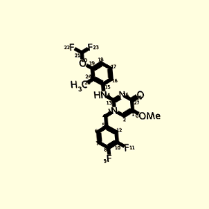 COc1cn(Cc2ccc(F)c(F)c2)c(Nc2cccc(OC(F)F)c2C)nc1=O